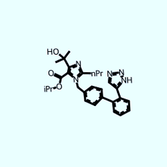 CCCc1nc(C(C)(C)O)c(C(=O)OC(C)C)n1Cc1ccc(-c2ccccc2-c2cnn[nH]2)cc1